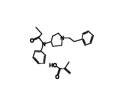 C=C(C)C(=O)O.CCC(=O)N(c1ccccc1)C1CCN(CCc2ccccc2)CC1